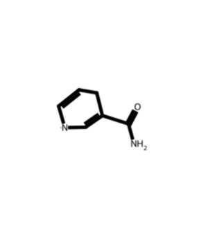 NC(=O)C1=C[N]C=CC1